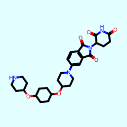 O=C1CCC(N2C(=O)c3ccc(N4CCC(OC5CCC(OC6CCNCC6)CC5)CC4)cc3C2=O)C(=O)N1